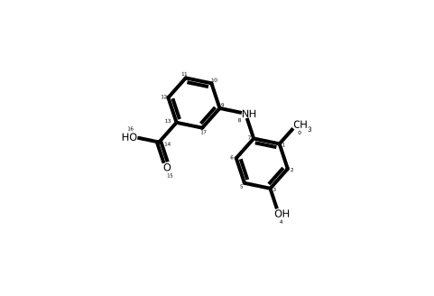 Cc1cc(O)ccc1Nc1cccc(C(=O)O)c1